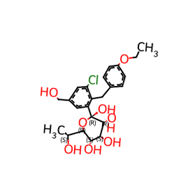 CCOc1ccc(Cc2c(Cl)cc(CO)cc2[C@@]2(O)O[C@H]([C@H](C)O)[C@@H](O)[C@H](O)[C@H]2O)cc1